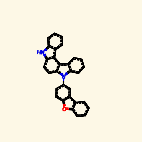 c1ccc2c(c1)[nH]c1ccc3c(c4ccccc4n3-c3ccc4oc5ccccc5c4c3)c12